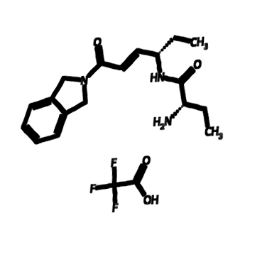 CC[C@@H](/C=C/C(=O)N1Cc2ccccc2C1)NC(=O)[C@@H](N)CC.O=C(O)C(F)(F)F